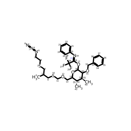 CC(CSCCN=[N+]=[N-])CSCOCC1OC(O/C(=N/c2ccccc2)C(F)(F)F)C(OCc2ccccc2)[C@@H](C)[C@@H]1C